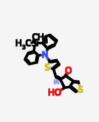 C[Si]1(C)c2ccccc2N(c2ccc(/C=C3\C(=O)c4cscc4C3O)s2)c2ccccc21